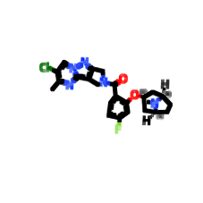 Cc1nc2c3c(nn2cc1Cl)CN(C(=O)c1ccc(F)cc1O[C@H]1C[C@H]2CC[C@@H](C1)N2C)C3